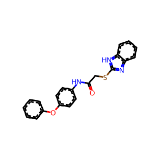 O=C(CSc1nc2ccccc2[nH]1)Nc1ccc(Oc2ccccc2)cc1